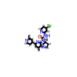 Cc1cc(-c2cc(C)c3c(n2)N(C(=O)Nc2cc(Br)ccn2)[C@H]2CCN3C2)ccn1